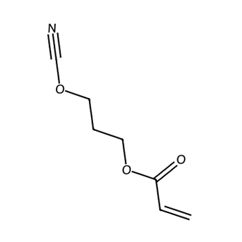 C=CC(=O)OCCCOC#N